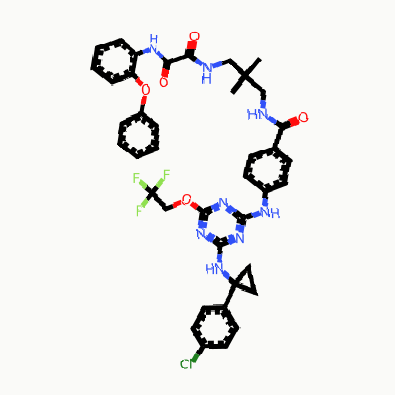 CC(C)(CNC(=O)C(=O)Nc1ccccc1Oc1ccccc1)CNC(=O)c1ccc(Nc2nc(NC3(c4ccc(Cl)cc4)CC3)nc(OCC(F)(F)F)n2)cc1